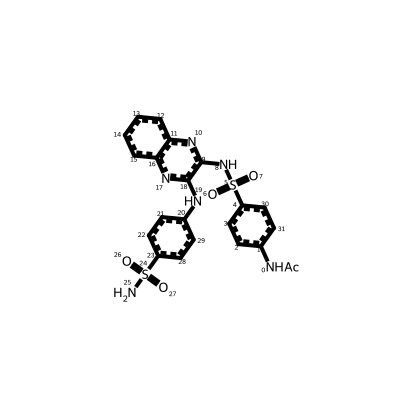 CC(=O)Nc1ccc(S(=O)(=O)Nc2nc3ccccc3nc2Nc2ccc(S(N)(=O)=O)cc2)cc1